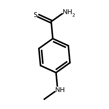 CNc1ccc(C(N)=S)cc1